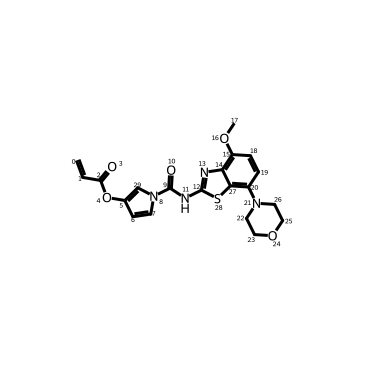 C=CC(=O)Oc1ccn(C(=O)Nc2nc3c(OC)ccc(N4CCOCC4)c3s2)c1